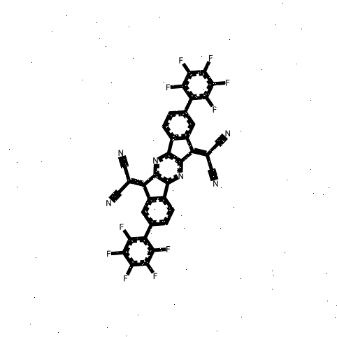 N#CC(C#N)=C1c2cc(-c3c(F)c(F)c(F)c(F)c3F)ccc2-c2nc3c(nc21)-c1ccc(-c2c(F)c(F)c(F)c(F)c2F)cc1C3=C(C#N)C#N